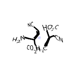 C=C(C#N)C(=O)O.N#C/C=C(\N)C(=O)O